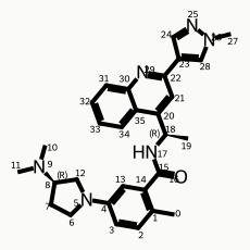 Cc1ccc(N2CC[C@@H](N(C)C)C2)cc1C(=O)N[C@H](C)c1cc(-c2cnn(C)c2)nc2ccccc12